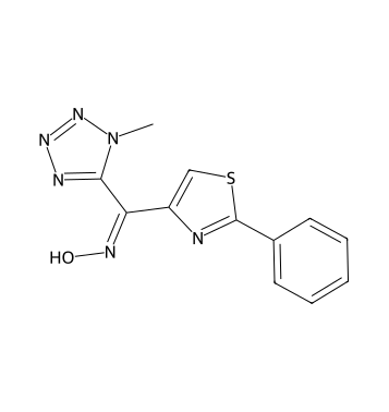 Cn1nnnc1C(=NO)c1csc(-c2ccccc2)n1